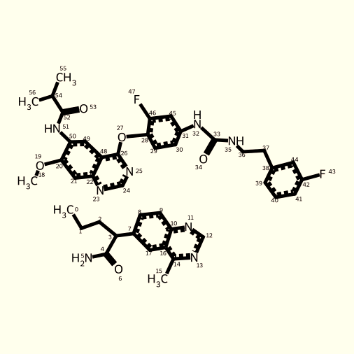 CCCC(C(N)=O)c1ccc2ncnc(C)c2c1.COc1cc2ncnc(Oc3ccc(NC(=O)NCCc4cccc(F)c4)cc3F)c2cc1NC(=O)C(C)C